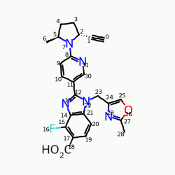 C#C[C@H]1CC[C@H](C)N1c1ccc(-c2nc3c(F)c(C(=O)O)ccc3n2Cc2coc(C)n2)cn1